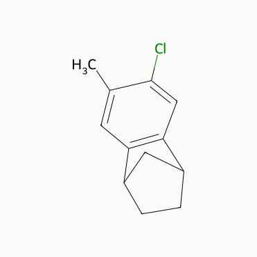 Cc1cc2c(cc1Cl)C1CCC2C1